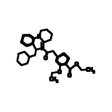 CCOC(=O)c1ccc(CC(=O)NC(CC2CCCCC2)c2ccccc2N2CCCCC2)cc1OCC